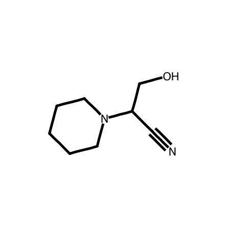 N#CC(CO)N1CCCCC1